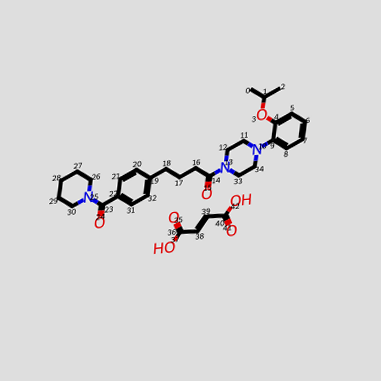 CC(C)Oc1ccccc1N1CCN(C(=O)CCCc2ccc(C(=O)N3CCCCC3)cc2)CC1.O=C(O)C=CC(=O)O